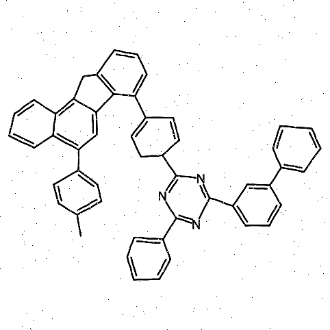 Cc1ccc(-c2cc3c(c4ccccc24)Cc2cccc(C4=CCC(c5nc(-c6ccccc6)nc(-c6cccc(-c7ccccc7)c6)n5)C=C4)c2-3)cc1